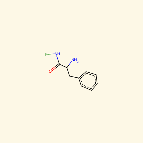 NC(Cc1ccccc1)C(=O)NF